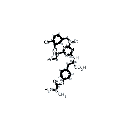 CCN(Cc1ccc(Cl)c(Cl)c1)c1nc(NCC(C)C)nc(N[C@@H](Cc2ccc(OC(=O)N(C)C)cc2)C(=O)O)n1